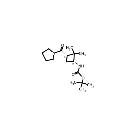 CC(C)(C)OC(=O)N[C@@H]1C[C@H](C(=O)N2CCCC2)C1(C)C